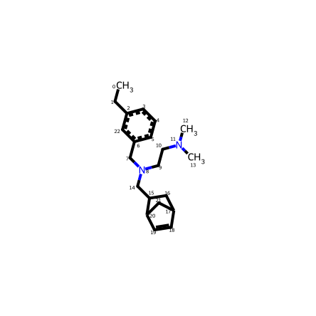 CCc1cccc(CN(CCN(C)C)CC2CC3C=CC2C3)c1